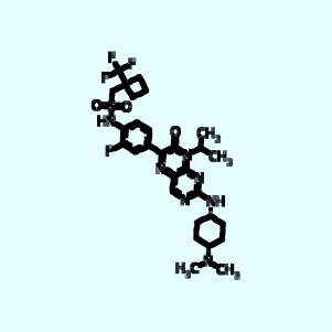 CC(C)n1c(=O)c(-c2ccc(NS(=O)(=O)CC3(C(F)(F)F)CCC3)c(F)c2)nc2cnc(N[C@H]3CC[C@H](N(C)C)CC3)nc21